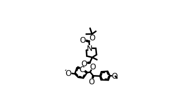 COc1ccc(C(=O)C(OC(=O)C2(C)CCN(C(=O)OC(C)(C)C)CC2)c2ccc(OC)cc2)cc1